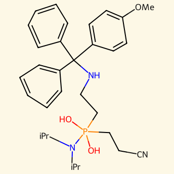 COc1ccc(C(NCCP(O)(O)(CCC#N)N(C(C)C)C(C)C)(c2ccccc2)c2ccccc2)cc1